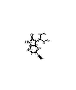 C#Cc1cnc2[nH]c(=O)n(C(CC)CC)c2n1